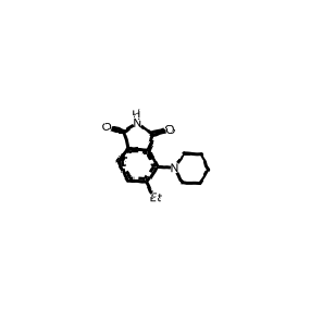 CCc1ccc2c(c1N1CCCCC1)C(=O)NC2=O